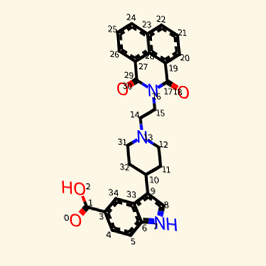 O=C(O)c1ccc2[nH]cc(C3CCN(CCN4C(=O)c5cccc6cccc(c56)C4=O)CC3)c2c1